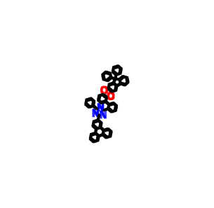 c1ccc(-c2nc(-c3ccc4c5ccccc5c5ccccc5c4c3)nc(-c3ccccc3-c3cccc4c3Oc3cc5c(cc3O4)C(c3ccccc3)(c3ccccc3)c3ccccc3-5)n2)cc1